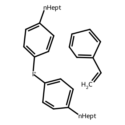 C=Cc1ccccc1.CCCCCCCc1ccc([I+]c2ccc(CCCCCCC)cc2)cc1